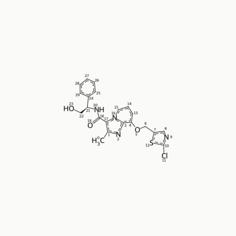 Cc1nc2c(OCc3cnc(Cl)s3)cccn2c1C(=O)N[C@@H](CO)c1ccccc1